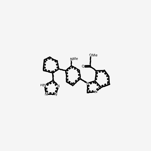 CNc1cc(-n2cnc3cccc(C(=O)OC)c32)ccc1-c1ccccc1-c1nnn[nH]1